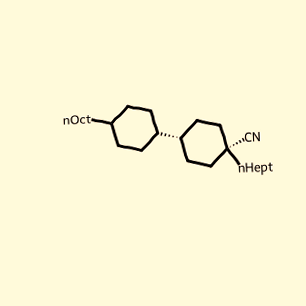 CCCCCCCCC1CCC([C@H]2CC[C@](C#N)(CCCCCCC)CC2)CC1